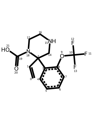 C=CC1(c2ccccc2OC(F)(F)F)CNCCN1C(=O)O